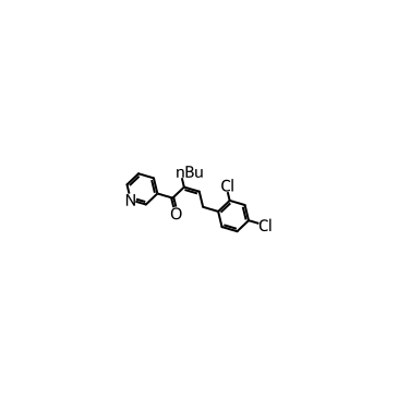 CCCC/C(=C/Cc1ccc(Cl)cc1Cl)C(=O)c1cccnc1